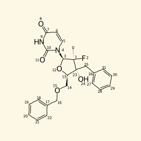 C[C@@]1(F)[C@H](n2ccc(=O)[nH]c2=O)O[C@H](COCc2ccccc2)[C@]1(O)Cc1ccccc1